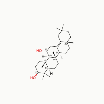 CC1(C)CC[C@]2(C)CC[C@]3(C)C(=C2C1)C[C@@H](O)[C@@H]1[C@@]2(C)CC[C@H](O)C(C)(C)[C@@H]2CC[C@]13C